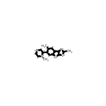 Cc1nc2c(o1)oc1cc(-c3cncc[n+]3C)c(C)cc12